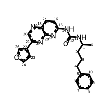 CC(CCCc1ccccc1)NC(=O)Nc1ccc2ncc(-c3ccoc3)nc2n1